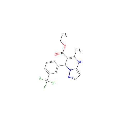 CCOC(=O)C1=C(C)Nc2ccnn2C1c1cccc(C(F)(F)F)c1